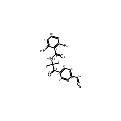 CC(C)(NC(=O)c1c(F)cccc1F)C(=O)c1ccc(C=O)cc1